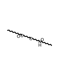 CCCCCCCCC(=O)COCCCCCOCCCCCNC(=O)CCCCCCC